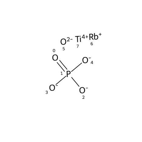 O=P([O-])([O-])[O-].[O-2].[Rb+].[Ti+4]